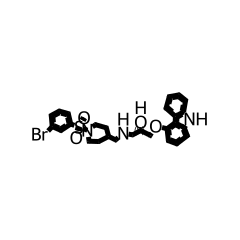 O=S(=O)(c1cccc(Br)c1)N1CCC(CNC[C@H](O)COc2cccc3[nH]c4ccccc4c23)CC1